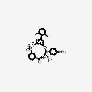 Cc1cccc(C)c1-c1cc2nc(n1)NS(=O)(=O)c1cccc(c1)C(=O)N[C@H](CC(C)C)[C@@H](c1ccc(C(C)(C)C)cc1)O2